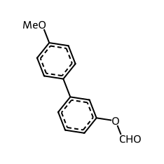 COc1ccc(-c2cccc(OC=O)c2)cc1